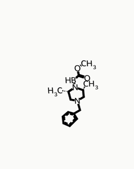 COC(=O)BN1[C@H](C)CN(Cc2ccccc2)C[C@@H]1C